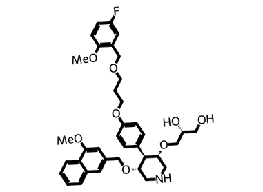 COc1ccc(F)cc1COCCCOc1ccc([C@@H]2[C@@H](OCc3cc(OC)c4ccccc4c3)CNC[C@H]2OC[C@H](O)CO)cc1